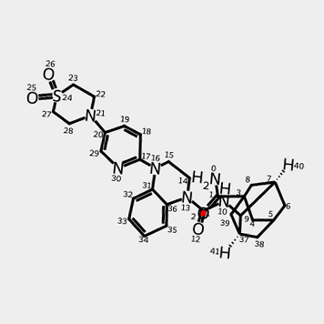 NC(=O)C12CC3C[C@H](C1)C(NC(=O)N1CCN(c4ccc(N5CCS(=O)(=O)CC5)cn4)c4ccccc41)[C@@H](C3)C2